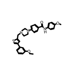 CCOc1cccc(-c2csc(CN3CCN(c4ccc(C(=O)Nc5ccc(OC)cc5)cc4)CC3)c2)c1